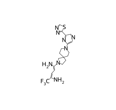 N/C(=C\C=C(/N)N1CCC2(CCN(c3cncc(-c4nncs4)n3)CC2)C1)C(F)(F)F